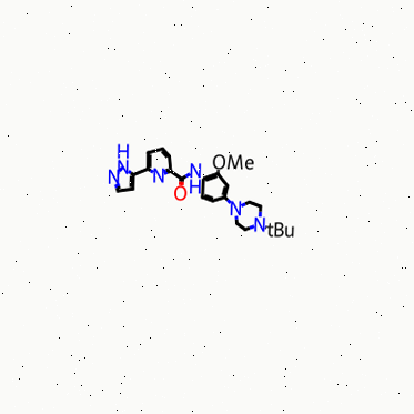 COc1cc(N2CCN(C(C)(C)C)CC2)ccc1NC(=O)c1cccc(-c2ccn[nH]2)n1